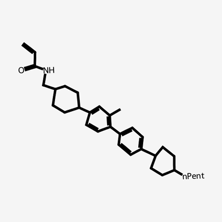 C=CC(=O)NCC1CCC(c2ccc(-c3ccc(C4CCC(CCCCC)CC4)cc3)c(C)c2)CC1